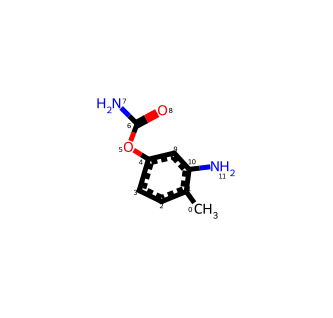 Cc1ccc(OC(N)=O)cc1N